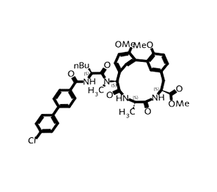 CCCC[C@H](NC(=O)c1ccc(-c2ccc(Cl)cc2)cc1)C(=O)N(C)[C@@H]1C(=O)N[C@@H](C)C(=O)N[C@H](C(=O)OC)Cc2ccc(OC)c(c2)-c2cc1ccc2OC